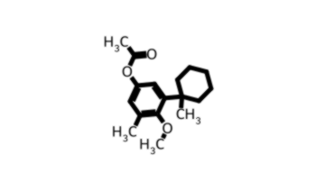 COc1c(C)cc(OC(C)=O)cc1C1(C)CCCCC1